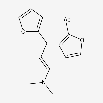 CC(=O)c1ccco1.CN(C)C=CCc1ccco1